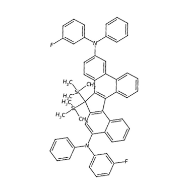 C[Si](C)(C)C1([Si](C)(C)C)c2cc(N(c3ccccc3)c3cccc(F)c3)c3ccccc3c2-c2c1c1ccc(N(c3ccccc3)c3cccc(F)c3)cc1c1ccccc21